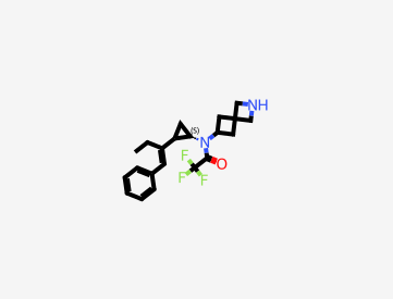 CCC(=Cc1ccccc1)C1C[C@@H]1N(C(=O)C(F)(F)F)C1CC2(CNC2)C1